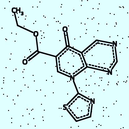 CCOC(=O)c1cn(-c2nccs2)c2ncncc2c1=O